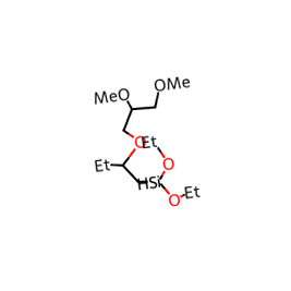 CCO[SiH](CC(CC)OCC(COC)OC)OCC